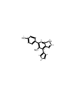 N#Cc1c(-c2ccc(O)cc2)nc2[nH]ncc2c1-c1ccsc1